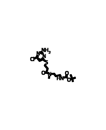 CN(CCCNC(=O)OC(C)(C)C)C(=O)CCSc1cc(Cl)nc(N)n1